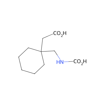 O=C(O)CC1(CNC(=O)O)CCCCC1